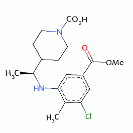 COC(=O)c1cc(Cl)c(C)c(N[C@@H](C)C2CCN(C(=O)O)CC2)c1